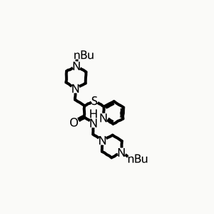 CCCCN1CCN(CNC(=O)C(CN2CCN(CCCC)CC2)Sc2ccccn2)CC1